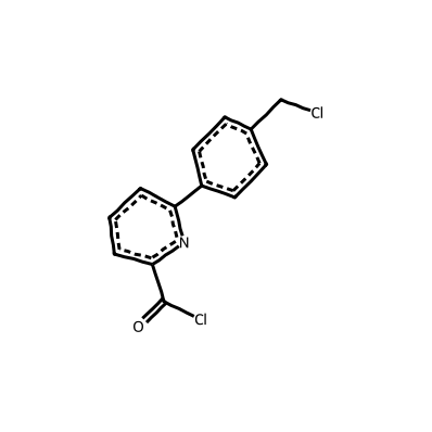 O=C(Cl)c1cccc(-c2ccc(CCl)cc2)n1